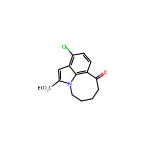 CCOC(=O)c1cc2c(Cl)ccc3c2n1CCCCC3=O